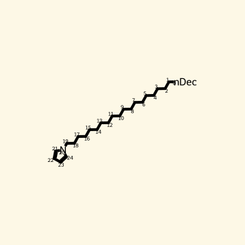 CCCCCCCCCCCCCCCCCCCCCCCCCCCCCn1cccc1